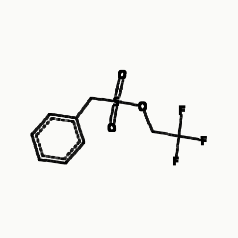 O=S(=O)(Cc1ccccc1)OCC(F)(F)F